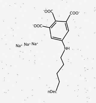 CCCCCCCCCCCCCCNc1cc(C(=O)[O-])c(C(=O)[O-])c(C(=O)[O-])c1.[Na+].[Na+].[Na+]